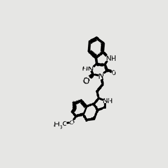 COc1cccc2c1CCC1CNC(CCn3c(=O)[nH]c4c([nH]c5ccccc54)c3=O)C21